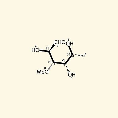 CO[C@@H]([C@@H](O)[C@@H](C)O)[C@@H](O)C=O